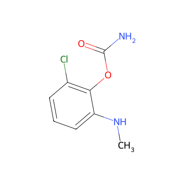 CNc1cccc(Cl)c1OC(N)=O